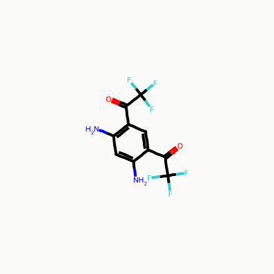 Nc1cc(N)c(C(=O)C(F)(F)F)cc1C(=O)C(F)(F)F